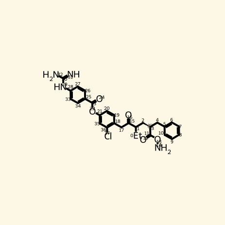 CCC(C[C@@H](Cc1ccccc1)C(=O)ON)C(=O)Cc1ccc(OC(=O)c2ccc(NC(=N)N)cc2)cc1Cl